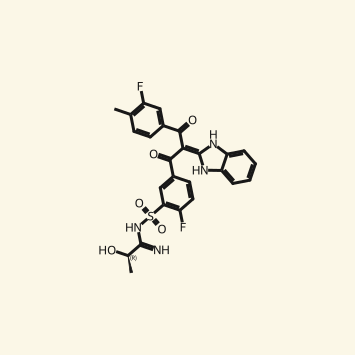 Cc1ccc(C(=O)C(C(=O)c2ccc(F)c(S(=O)(=O)NC(=N)[C@@H](C)O)c2)=C2Nc3ccccc3N2)cc1F